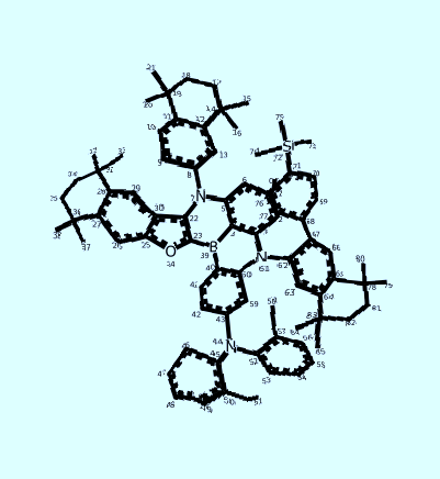 Cc1cc2c3c(c1)N(c1ccc4c(c1)C(C)(C)CCC4(C)C)c1c(oc4cc5c(cc14)C(C)(C)CCC5(C)C)B3c1ccc(N(c3ccccc3C)c3ccccc3C)cc1N2c1cc2c(cc1-c1ccc([Si](C)(C)C)cc1)C(C)(C)CCC2(C)C